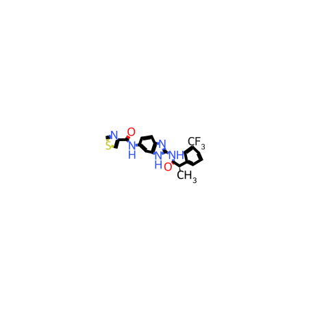 C[C@H](C(=O)Nc1nc2ccc(NC(=O)c3cscn3)cc2[nH]1)c1cccc(C(F)(F)F)c1